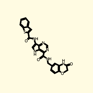 O=C1COc2ccc(CNC(=O)c3ncnc4c(NC(=O)c5cc6ccccc6s5)c[nH]c34)cc2N1